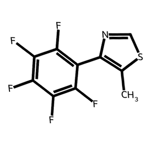 Cc1scnc1-c1c(F)c(F)c(F)c(F)c1F